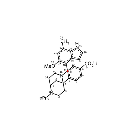 CCCN1CCC2(c3ccc(C(=O)O)cc3)CC1CCN2Cc1c(OC)cc(C)c2[nH]ccc12